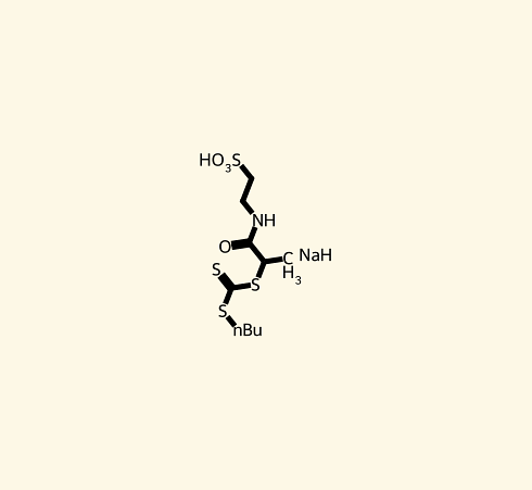 CCCCSC(=S)SC(C)C(=O)NCCS(=O)(=O)O.[NaH]